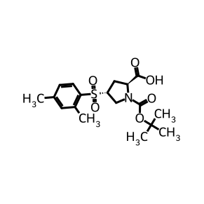 Cc1ccc(S(=O)(=O)[C@@H]2C[C@@H](C(=O)O)N(C(=O)OC(C)(C)C)C2)c(C)c1